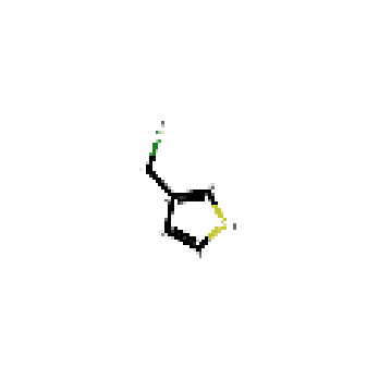 Cl[CH]c1ccsc1